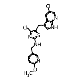 COc1ccc(CNc2nc(Cl)c(Cc3c[nH]c4ncc(Cl)cc34)s2)cn1